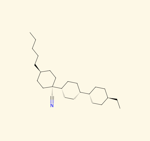 CCCCC[C@H]1CC[C@@](C#N)([C@H]2CC[C@@H]([C@H]3CC[C@H](CC)CC3)CC2)CC1